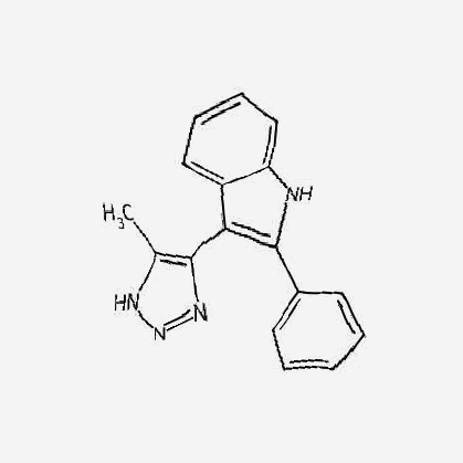 Cc1[nH]nnc1-c1c(-c2ccccc2)[nH]c2ccccc12